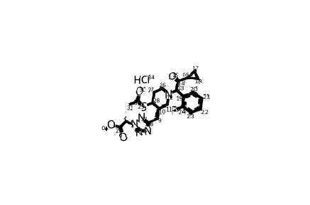 COC(=O)Cn1nnc(C=C2CN(C(C(=O)C3CC3)c3ccccc3F)CCC2SC(C)=O)n1.Cl